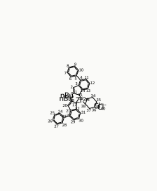 CCCCC1=Cc2c(-c3ccccc3)cccc2[CH]1[Zr+2]1([CH]2C(CCCC)=Cc3c(-c4ccccc4)cccc32)[CH]2CCCC[CH]21.[Cl-].[Cl-]